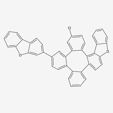 Clc1ccc2c(c1)-c1cc(-c3ccc4c(c3)oc3ccccc34)ccc1-c1ccccc1-c1ccc3oc4ccccc4c3c1-2